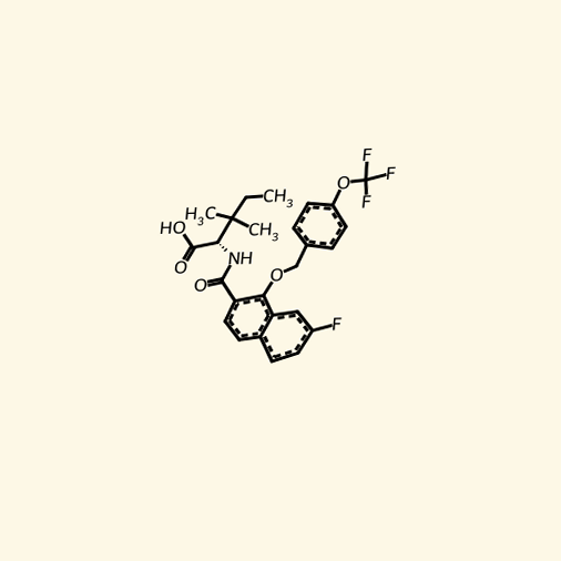 CCC(C)(C)[C@H](NC(=O)c1ccc2ccc(F)cc2c1OCc1ccc(OC(F)(F)F)cc1)C(=O)O